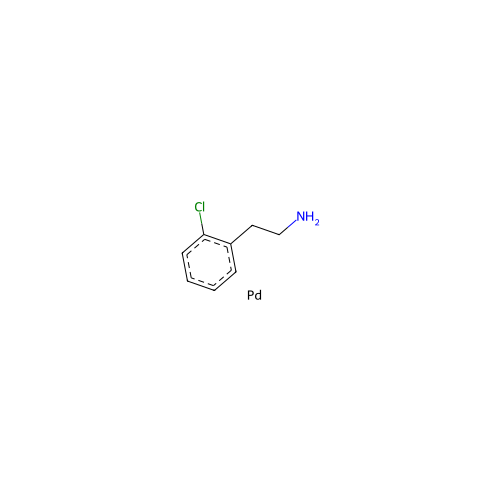 NCCc1ccccc1Cl.[Pd]